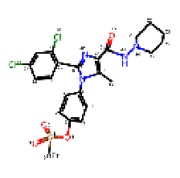 CCCS(=O)(=O)Oc1ccc(-n2c(-c3ccc(Cl)cc3Cl)nc(C(=O)NN3CCCCC3)c2C)cc1